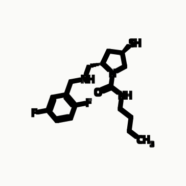 CCCCNC(=O)N1C[C@H](S)C[C@H]1CNCc1cc(F)ccc1F